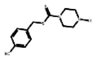 CCN1CCN(C(=S)SCc2ccc(C#N)cc2)CC1